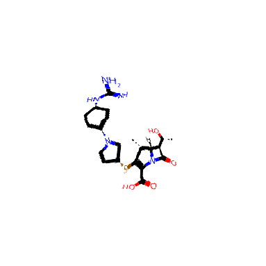 C[C@@H](O)[C@H]1C(=O)N2C(C(=O)O)=C(S[C@@H]3CCN([C@H]4CC[C@@H](NC(=N)N)CC4)C3)[C@H](C)[C@H]12